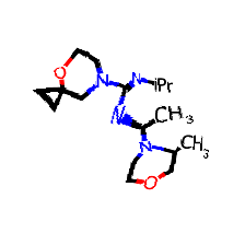 C/C(=N\C(=N/C(C)C)N1CCOC2(CC2)C1)N1CCOC[C@@H]1C